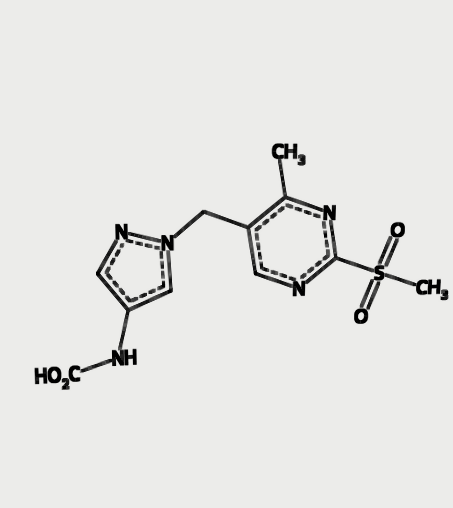 Cc1nc(S(C)(=O)=O)ncc1Cn1cc(NC(=O)O)cn1